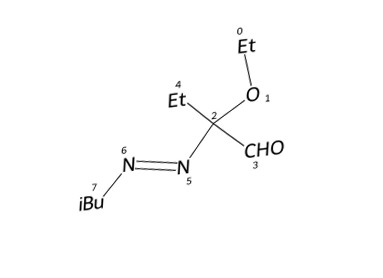 CCOC(C=O)(CC)N=NC(C)CC